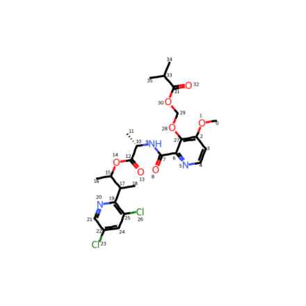 COc1ccnc(C(=O)N[C@@H](C)C(=O)OC(C)C(C)c2ncc(Cl)cc2Cl)c1OCOC(=O)C(C)C